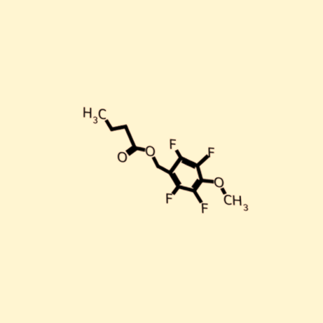 CCCC(=O)OCc1c(F)c(F)c(OC)c(F)c1F